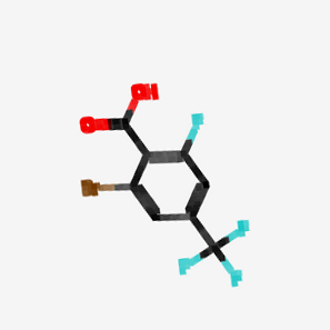 O=C(O)c1c(F)cc(C(F)(F)F)cc1Br